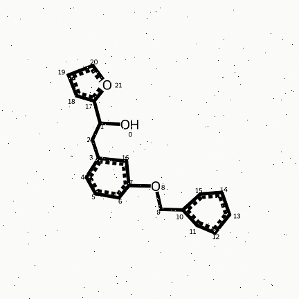 OC(Cc1cccc(OCc2ccccc2)c1)c1ccco1